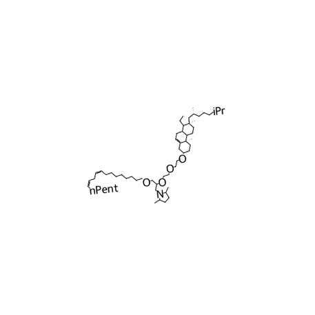 CCCCC/C=C\C/C=C\CCCCCCCCOCC(CN1C(C)CCC1C)OCCOCCO[C@H]1CC[C@@]2(C)C(=CCC3C2CC[C@@]2(C)C3CC[C@@H]2[C@H](C)CCCC(C)C)C1